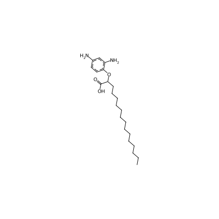 CCCCCCCCCCCCCCC(Oc1ccc(N)cc1N)C(=O)O